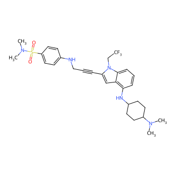 CN(C)C1CCC(Nc2cccc3c2cc(C#CCNc2ccc(S(=O)(=O)N(C)C)cc2)n3CC(F)(F)F)CC1